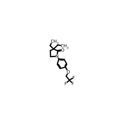 CCC1(CC)CCN(c2ccc(OCC(F)(F)F)cc2)C1=O